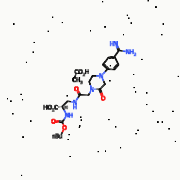 CC(=O)O.CCCCOC(=O)N[C@@H](CNC(=O)CN1CCN(c2ccc(C(=N)N)cc2)CC1=O)C(=O)O